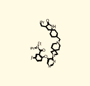 CCN(C(=O)c1cc(F)ccc1Oc1cncnc1N1CC2(CCN(CC3CCC4(CC3)CC(CC(C)C)C(=O)N4)CC2)C1)C(C)C